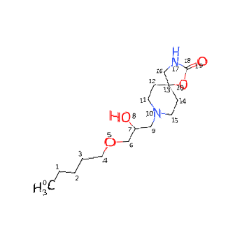 CCCCCOCC(O)CN1CCC2(CC1)CNC(=O)O2